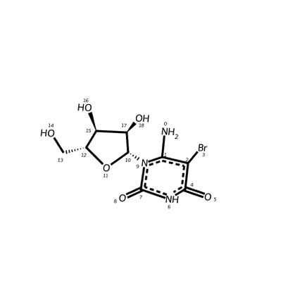 Nc1c(Br)c(=O)[nH]c(=O)n1[C@@H]1O[C@H](CO)[C@@H](O)[C@H]1O